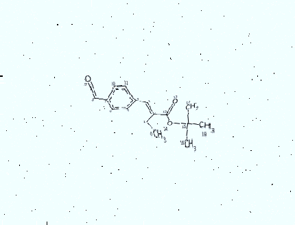 CC/C(=C\c1ccc(C=O)cc1)C(=O)OC(C)(C)C